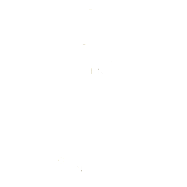 C=C/C(F)=C\C(F)=C(/C)S(=O)(=O)Nc1cccc(-c2ccc(-c3ccc4c(c3)CN(C)C4=O)s2)c1